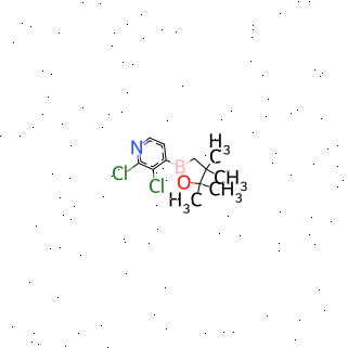 CC1(C)CB(c2ccnc(Cl)c2Cl)OC1(C)C